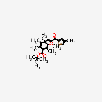 COC1C(C)=C(C(=O)OC(C)(C)C)C(C)=C(C)C1(C)C=CC(=O)c1cc(C)cs1